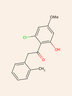 COc1cc(O)c(C(=O)Cc2ccccc2C)c(Cl)c1